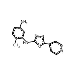 Cc1ccc(N)cc1Nc1nnc(-c2ccncc2)o1